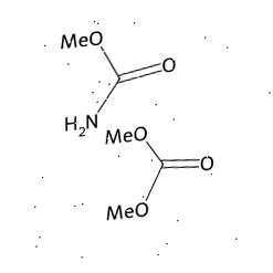 COC(=O)OC.COC(N)=O